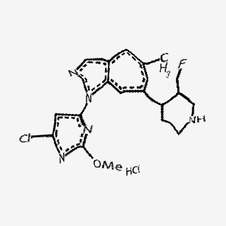 COc1nc(Cl)cc(-n2ncc3cc(C)c(C4CCNCC4F)cc32)n1.Cl